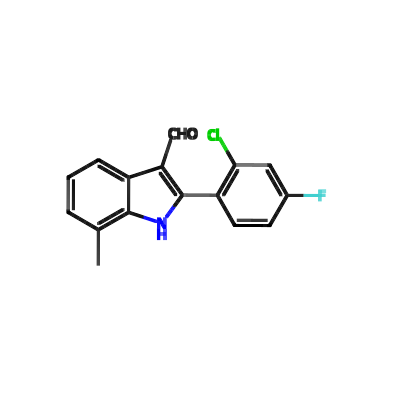 Cc1cccc2c(C=O)c(-c3ccc(F)cc3Cl)[nH]c12